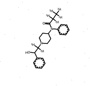 [2H]C([2H])(C(O)c1ccccc1)N1CCC(N(C(=O)C([2H])([2H])C([2H])([2H])[2H])c2ccccc2)CC1